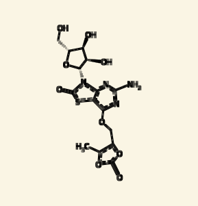 Cc1oc(=O)oc1COc1nc(N)nc2c1sc(=O)n2[C@@H]1O[C@H](CO)[C@@H](O)[C@H]1O